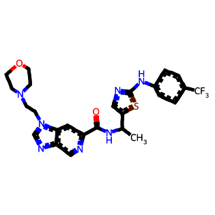 CC(NC(=O)c1cc2c(cn1)ncn2CCN1CCOCC1)c1cnc(Nc2ccc(C(F)(F)F)cc2)s1